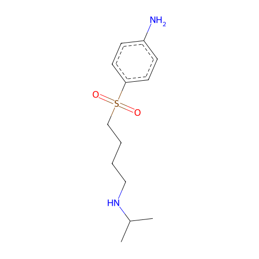 CC(C)NCCCCS(=O)(=O)c1ccc(N)cc1